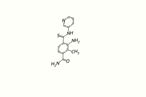 Cc1c(C(N)=O)ccc(C(=S)Nc2cccnc2)c1N